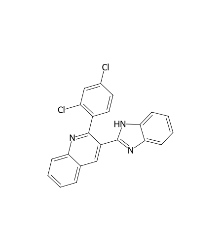 Clc1ccc(-c2nc3ccccc3cc2-c2nc3ccccc3[nH]2)c(Cl)c1